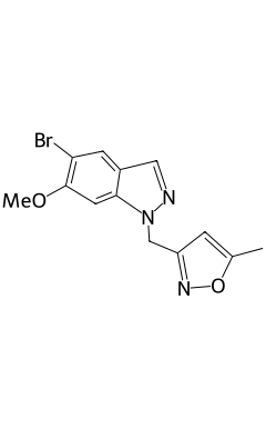 COc1cc2c(cnn2Cc2cc(C)on2)cc1Br